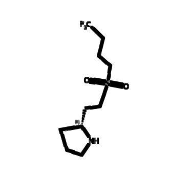 O=S(=O)(CCCC(F)(F)F)CC[C@H]1CCCN1